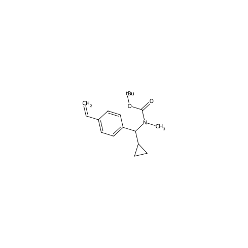 C=Cc1ccc(C(C2CC2)N(C)C(=O)OC(C)(C)C)cc1